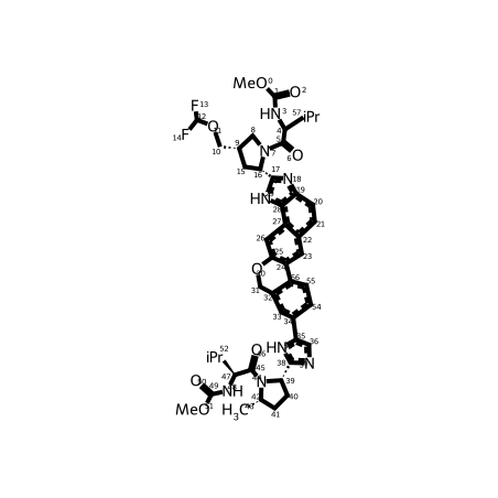 COC(=O)NC(C(=O)N1C[C@@H](COC(F)F)C[C@H]1c1nc2ccc3cc4c(cc3c2[nH]1)OCc1cc(-c2cnc([C@@H]3CC[C@H](C)N3C(=O)[C@@H](NC(=O)OC)C(C)C)[nH]2)ccc1-4)C(C)C